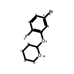 Fc1ccc(Br)cc1OC1CCCCO1